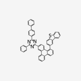 c1ccc(-c2ccc(-c3nc(-c4ccccc4)nc(-c4ccc5c(c4)c4ccccc4c4cccc(-c6ccc7sc8ccccc8c7c6)c45)n3)cc2)cc1